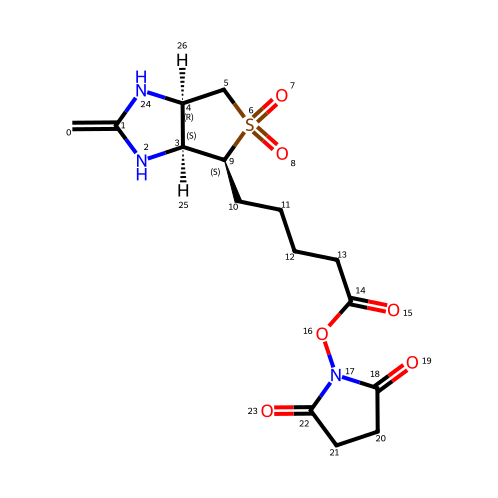 C=C1N[C@H]2[C@H](CS(=O)(=O)[C@H]2CCCCC(=O)ON2C(=O)CCC2=O)N1